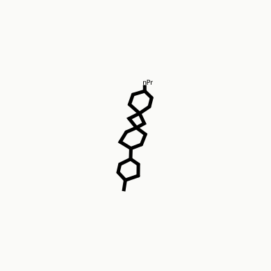 CCCC1CCC2(CC1)CC1(CCC(C3CCC(C)CC3)CC1)C2